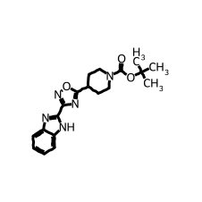 CC(C)(C)OC(=O)N1CCC(c2nc(-c3nc4ccccc4[nH]3)no2)CC1